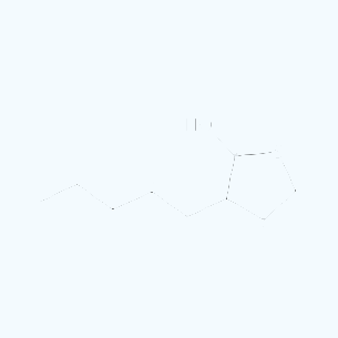 CCCCCC1CCSC1O